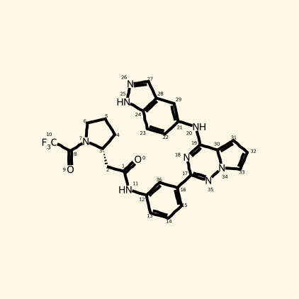 O=C(C[C@H]1CCCN1C(=O)C(F)(F)F)Nc1cccc(-c2nc(Nc3ccc4[nH]ncc4c3)c3cccn3n2)c1